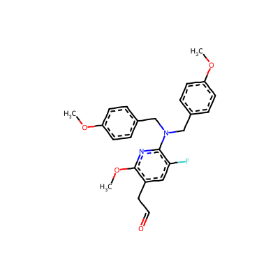 COc1ccc(CN(Cc2ccc(OC)cc2)c2nc(OC)c(CC=O)cc2F)cc1